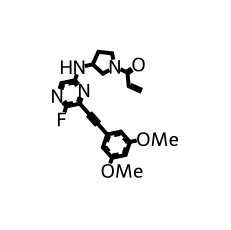 C=CC(=O)N1CCC(Nc2cnc(F)c(C#Cc3cc(OC)cc(OC)c3)n2)C1